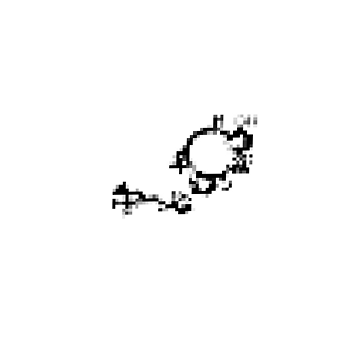 CC1(C)CC2CCCNc3nc(ccc3O)S(=O)(=O)NC(=O)c3ccc(-n4ccc(OCCCC5(C(F)(F)F)CC5)n4)nc3N1C2